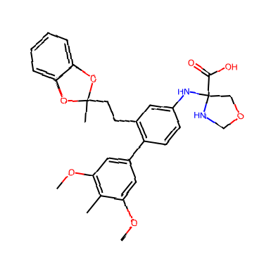 COc1cc(-c2ccc(NC3(C(=O)O)COCN3)cc2CCC2(C)Oc3ccccc3O2)cc(OC)c1C